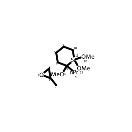 CC1CO1.CCCC1(OC)CCCC[Si]1(OC)OC